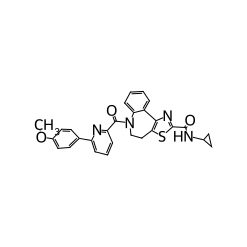 COc1ccc(-c2cccc(C(=O)N3CCc4sc(C(=O)NC5CC5)nc4-c4ccccc43)n2)cc1